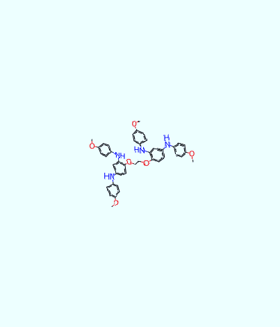 COc1ccc(Nc2ccc(OCCOc3ccc(Nc4ccc(OC)cc4)cc3Nc3ccc(OC)cc3)c(Nc3ccc(OC)cc3)c2)cc1